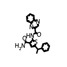 CC(c1ccccc1)c1cc(C(N)=O)c(NC(=O)c2cnc3ccccc3n2)s1